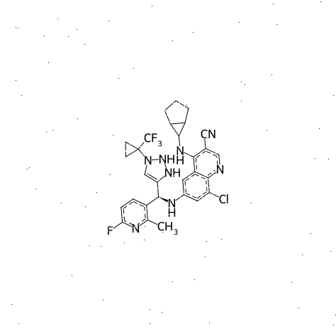 Cc1nc(F)ccc1[C@H](Nc1cc(Cl)c2ncc(C#N)c(NC3C4CCCC43)c2c1)C1=CN(C2(C(F)(F)F)CC2)NN1